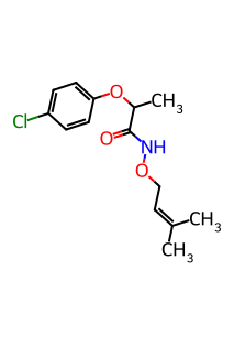 CC(C)=CCONC(=O)C(C)Oc1ccc(Cl)cc1